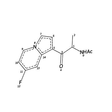 CC(=O)NC(C)C(=O)c1ccn2ccc(F)cc12